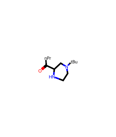 [CH2]CCC(=O)C1CN(C(C)(C)C)CCN1